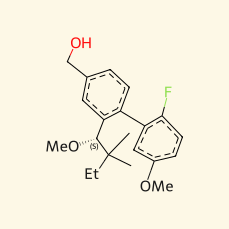 CCC(C)(C)[C@H](OC)c1cc(CO)ccc1-c1cc(OC)ccc1F